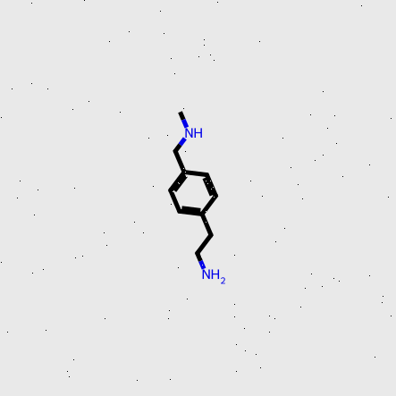 CNCc1ccc(CCN)cc1